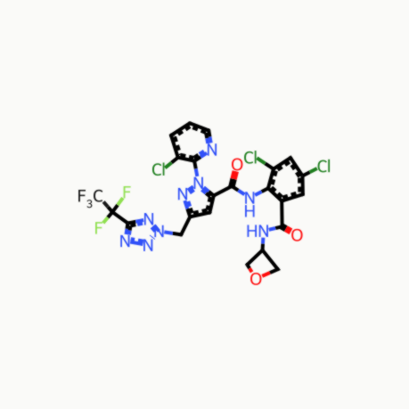 O=C(NC1COC1)c1cc(Cl)cc(Cl)c1NC(=O)c1cc(Cn2nnc(C(F)(F)C(F)(F)F)n2)nn1-c1ncccc1Cl